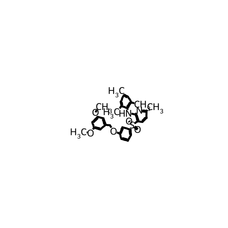 COc1cc(COc2cccc(S(=O)(=O)c3ccc(C)nc3Nc3c(C)cc(C)cc3C)c2)cc(OC)c1